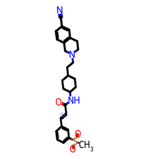 CS(=O)(=O)c1cccc(/C=C/C(=O)NC2CCC(CCN3CCc4cc(C#N)ccc4C3)CC2)c1